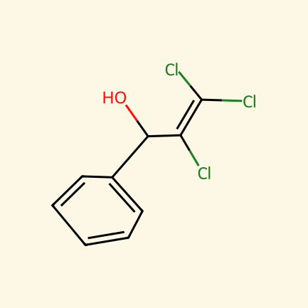 OC(C(Cl)=C(Cl)Cl)c1ccccc1